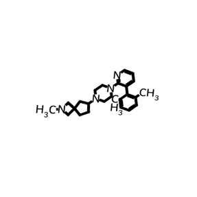 Cc1cccc(C)c1-c1cccnc1N1CCN(C2CCC3(C2)CN(C)C3)CC1